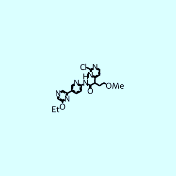 CCOc1cncc(-c2ccc(NC(=O)C(CCOC)c3ccnc(Cl)n3)nc2)n1